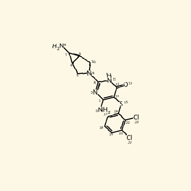 Nc1nc(N2CC3C(N)C3C2)[nH]c(=O)c1Sc1cccc(Cl)c1Cl